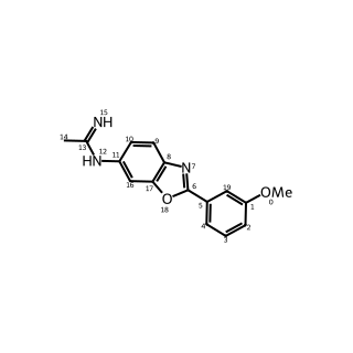 COc1cccc(-c2nc3ccc(NC(C)=N)cc3o2)c1